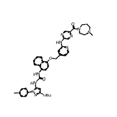 CCCCc1cc(NC(=O)Nc2ccc(OCc3ccnc(Nc4cnc(C(=O)N5CCCN(C)CC5)cn4)c3)c3ccccc23)n(-c2ccc(C)cc2)n1